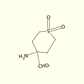 NC1([C]=O)CCS(=O)(=O)CC1